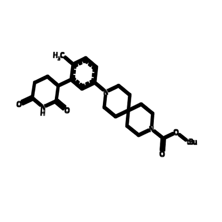 Cc1ccc(N2CCC3(CCN(C(=O)OC(C)(C)C)CC3)CC2)cc1C1CCC(=O)NC1=O